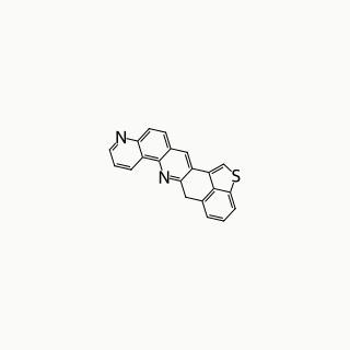 c1cc2c3c(csc3c1)-c1cc3ccc4ncccc4c3nc1C2